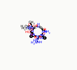 CCCC[C@H](NC(=O)[C@H](CC)N(C)C)C(=O)N[C@H]1CCC(=O)NCCCC[C@@H](C(N)=O)NC(=O)[C@H](Cc2c[nH]c3ccccc23)NC(=O)[C@H](CCCNC(=N)N)NC(=O)[C@@H](Cc2ccccc2)NC(=O)[C@@H]2C[C@@H](O)CN2C1=O